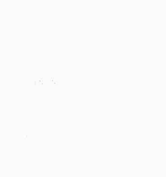 Cc1ccc(S(=O)(=O)N/N=C2/CC(C(=O)OCCCc3ccccc3)c3ccccc32)cc1